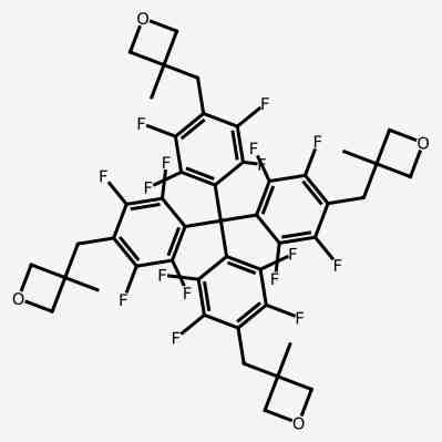 CC1(Cc2c(F)c(F)c(C(c3c(F)c(F)c(CC4(C)COC4)c(F)c3F)(c3c(F)c(F)c(CC4(C)COC4)c(F)c3F)c3c(F)c(F)c(CC4(C)COC4)c(F)c3F)c(F)c2F)COC1